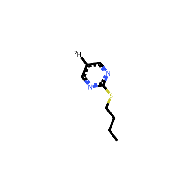 [2H]c1cnc(SCCCC)nc1